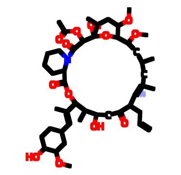 C=CCC1/C=C(\C)CC(C)CC(OC)C2OC(O)(C(C)CC2OC)C(OC(C)=O)C(=O)N2CCCCC2C(=O)OC(C(C)=CC2CCC(O)C(OC)C2)C(C)C(O)CC1=O